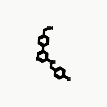 OCc1ccc(-c2cncc(NCc3ccc(Cl)cc3)c2)cc1